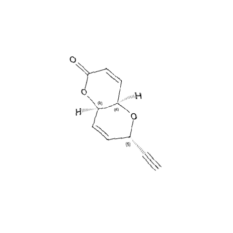 C#C[C@@H]1C=C[C@H]2OC(=O)C=C[C@H]2O1